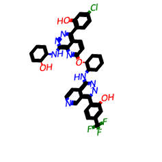 Oc1cc(C(F)(F)F)ccc1-c1nnc(NC2CCCC[C@H]2Oc2ccc3c(-c4ccc(Cl)cc4O)nnc(N[C@@H]4CCCC[C@H]4O)c3n2)c2ccncc12